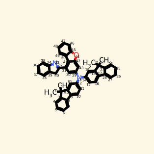 CC1(C)c2ccccc2-c2ccc(N(c3ccc4c(c3)C(C)(C)c3ccccc3-4)c3cc(C4=Nc5ccccc5C4)c4c(c3)oc3ccccc34)cc21